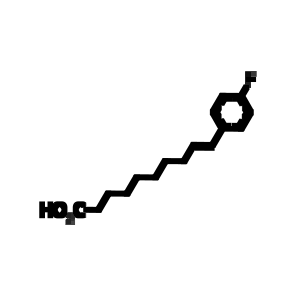 O=C(O)CCCCCCCC=Cc1ccc(F)cc1